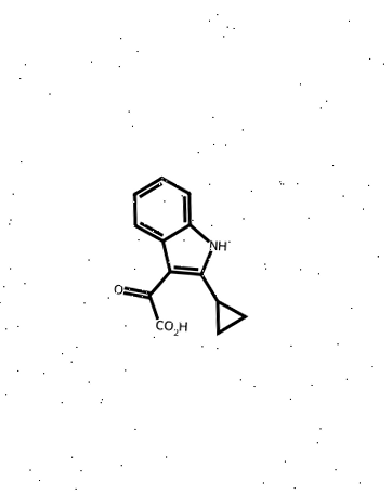 O=C(O)C(=O)c1c(C2CC2)[nH]c2ccccc12